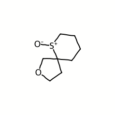 [O-][S+]1CCCCC12CCOC2